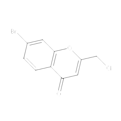 O=c1cc(CCl)oc2cc(Br)ccc12